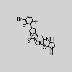 Cn1c(CC(=O)NC2CCNC2=O)c2n(c1=S)CC(c1c(F)ccc(Br)c1F)C2